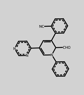 N#Cc1ccccc1C1=CC(c2ccncn2)=CN(c2ccccc2)C1C=O